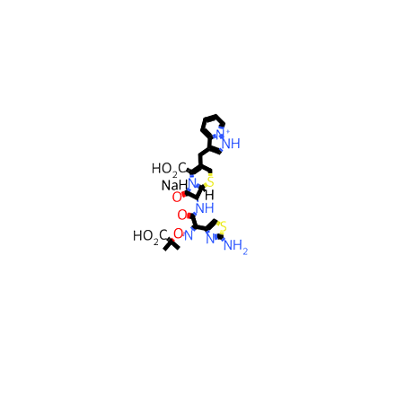 CC(C)(O/N=C(\C(=O)N[C@@H]1C(=O)N2C(C(=O)O)=C(Cc3c[nH][n+]4ccccc34)CS[C@H]12)c1csc(N)n1)C(=O)O.[NaH]